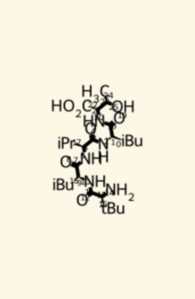 CC[C@H](C)[C@H](NC(=O)[C@@H](NC(=O)[C@@H](NC(=O)[C@@H](N)C(C)(C)C)[C@@H](C)CC)C(C)C)C(=O)N[C@H](C(=O)O)[C@@H](C)O